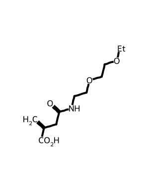 C=C(CC(=O)NCCOCCOCC)C(=O)O